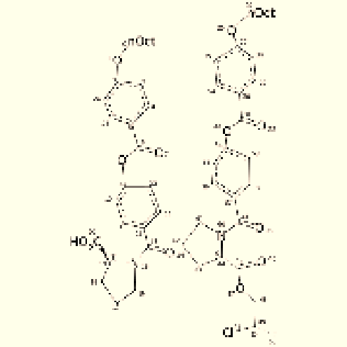 CCCCCCCCOc1ccc(C(=O)Oc2ccc(C(=O)N3CCC[C@H]3C(=O)O)cc2)cc1.CCCCCCCCOc1ccc(C(=O)Oc2ccc(C(=O)N3CCC[C@H]3C(=O)OC[C@H](C)Cl)cc2)cc1